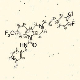 O=C(NCc1ccnc(F)c1)n1c2c(c3ccc(C(F)(F)F)cc31)CN(CC=Cc1ccc(F)c(Cl)c1)CC2